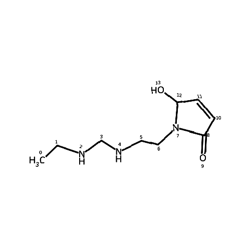 CCNCNCCN1C(=O)C=CC1O